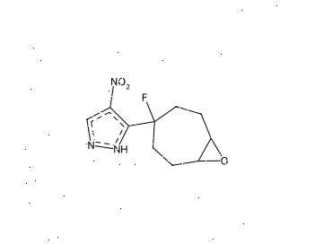 O=[N+]([O-])c1cn[nH]c1C1(F)CCC2OC2CC1